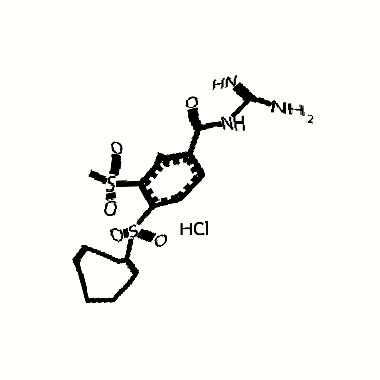 CS(=O)(=O)c1cc(C(=O)NC(=N)N)ccc1S(=O)(=O)C1CCCCC1.Cl